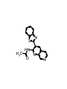 CC(=O)Nc1nc2cnccc2cc1-c1nc2ccccc2s1